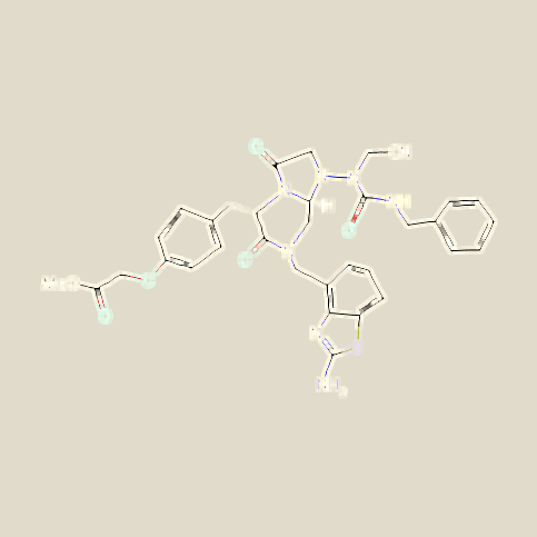 COC(=O)COc1ccc(C[C@H]2C(=O)N(Cc3cccc4sc(N)nc34)C[C@H]3N2C(=O)CN3N(CC#N)C(=O)NCc2ccccc2)cc1